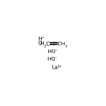 C=C.[La+3].[OH-].[OH-].[OH-]